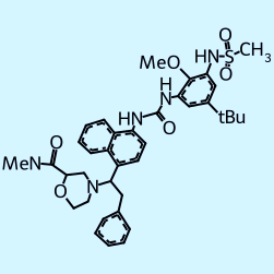 CNC(=O)C1CN(C(Cc2ccccc2)c2ccc(NC(=O)Nc3cc(C(C)(C)C)cc(NS(C)(=O)=O)c3OC)c3ccccc23)CCO1